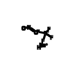 F[B-](F)(F)F.O=N[O-].[H+].[Na+]